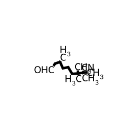 CC(CC=O)CCCC(C)(C)C(C)(C)C#N